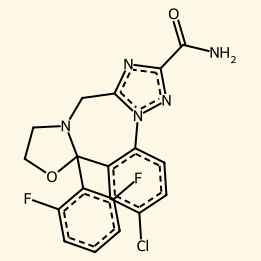 NC(=O)c1nc2n(n1)-c1ccc(Cl)cc1C1(c3c(F)cccc3F)OCCN1C2